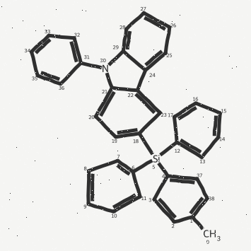 Cc1ccc([Si](c2ccccc2)(c2ccccc2)c2ccc3c(c2)c2ccccc2n3-c2ccccc2)cc1